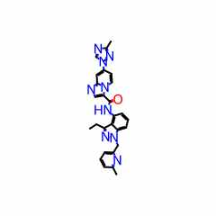 CCc1nn(Cc2cccc(C)n2)c2cccc(NC(=O)c3cnc4cc(-n5cnc(C)n5)ccn34)c12